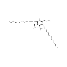 CCCCCCCCCCCCCc1c(C)c(CCCC)c(CCCCCCCCCCCCC)c(C(C)(C)C)c1P(=O)=O